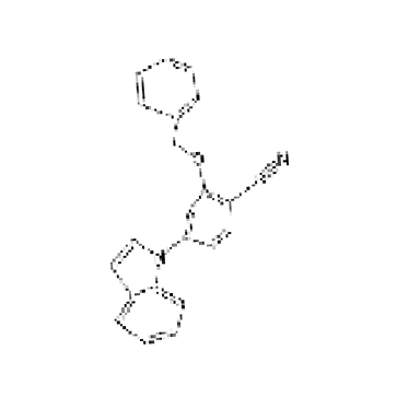 N#Cc1ccc(-n2ccc3ccccc32)cc1OCc1ccccc1